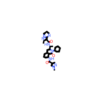 Cc1nn2cccnc2c1C(=O)NC(C)c1cc2cccc(NC(=O)c3cnn(C)c3)c2c(=O)n1-c1ccccc1